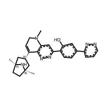 CN1CC=C([C@H]2C[C@]3(C)CC[C@](C)(C2)N3)c2nnc(-c3ccc(-c4cccnn4)cc3O)cc21